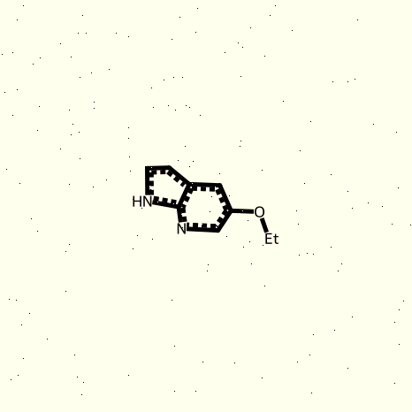 CCOc1cnc2[nH]ccc2c1